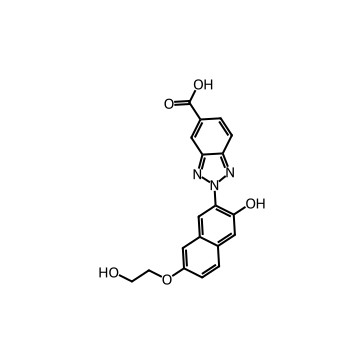 O=C(O)c1ccc2nn(-c3cc4cc(OCCO)ccc4cc3O)nc2c1